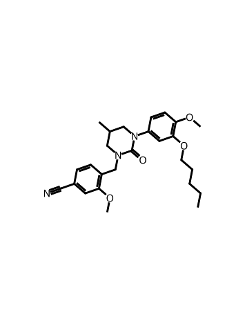 CCCCCOc1cc(N2CC(C)CN(Cc3ccc(C#N)cc3OC)C2=O)ccc1OC